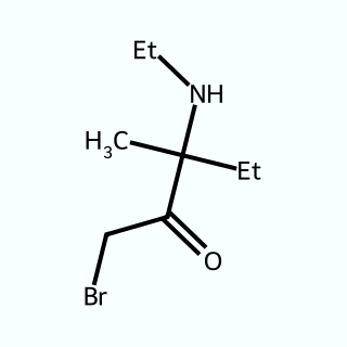 CCNC(C)(CC)C(=O)CBr